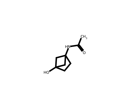 CC(=O)NC12CCC(O)(C1)C2